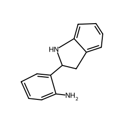 Nc1ccccc1C1Cc2ccccc2N1